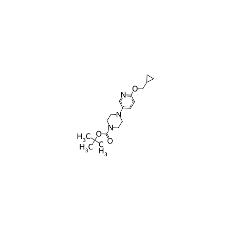 CC(C)(C)OC(=O)N1CCN(c2ccc(OCC3CC3)nc2)CC1